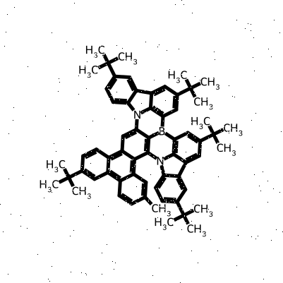 Cc1ccc2c3cc(C(C)(C)C)ccc3c3cc4c5c(c3c2c1)-n1c2ccc(C(C)(C)C)cc2c2cc(C(C)(C)C)cc(c21)B5c1cc(C(C)(C)C)cc2c3cc(C(C)(C)C)ccc3n-4c12